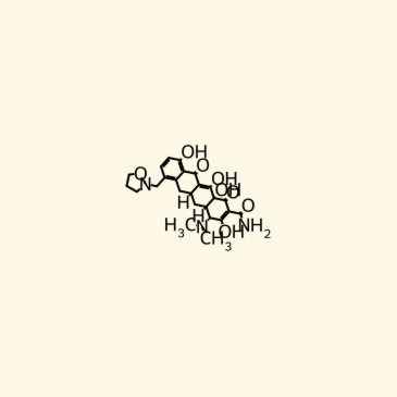 CN(C)[C@@H]1C(O)=C(C(N)=O)C(=O)[C@@]2(O)C(O)=C3C(=O)c4c(O)ccc(CN5CCCO5)c4C[C@H]3C[C@@H]12